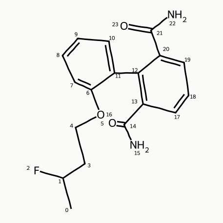 CC(F)CCOc1ccccc1-c1c(C(N)=O)cccc1C(N)=O